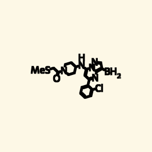 Bc1cnn2c(NC3CCN(C(=O)CSC)CC3)cc(-c3ccccc3Cl)nc12